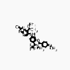 COC1CCC(C(=O)N(C)[C@H](c2ccc(Nc3cnc4nc(Cl)nn4c3[C@H](C)OC)cc2)C(F)(F)F)CC1